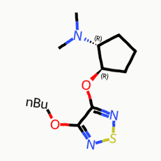 CCCCOc1nsnc1O[C@@H]1CCC[C@H]1N(C)C